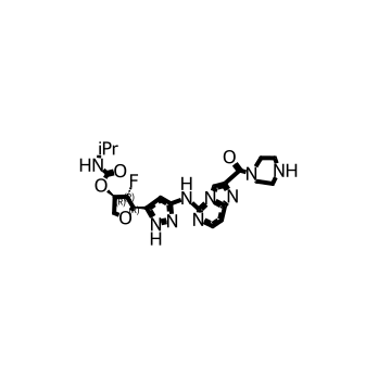 CC(C)NC(=O)O[C@@H]1CO[C@H](c2cc(Nc3nccc4nc(C(=O)N5CCNCC5)cn34)n[nH]2)[C@H]1F